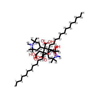 CCCCCCCCCCCCCC(CCCCCCCCCCCCC)(C(=O)O)C(C(=O)O)(C1CC(C)(C)N(C)C(C)(C)C1)C(CC(=O)O)(C(=O)O)C1CC(C)(C)N(C)C(C)(C)C1